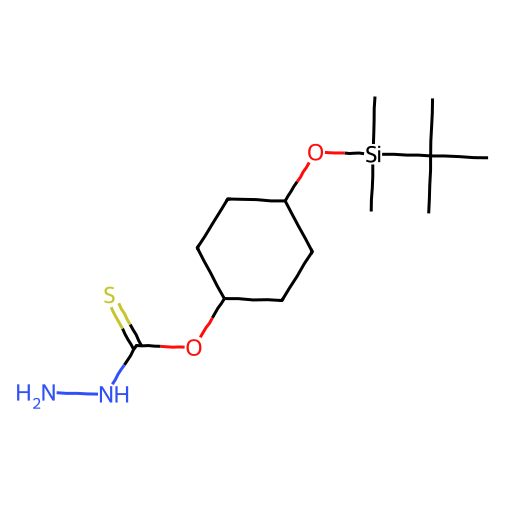 CC(C)(C)[Si](C)(C)OC1CCC(OC(=S)NN)CC1